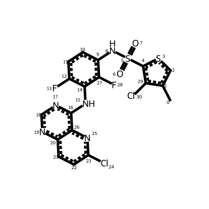 Cc1csc(S(=O)(=O)Nc2ccc(F)c(Nc3ncnc4ccc(Cl)nc34)c2F)c1Cl